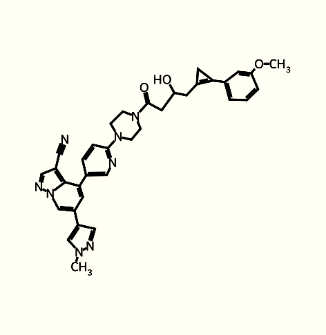 COc1cccc(C2=C(CC(O)CC(=O)N3CCN(c4ccc(-c5cc(-c6cnn(C)c6)cn6ncc(C#N)c56)cn4)CC3)C2)c1